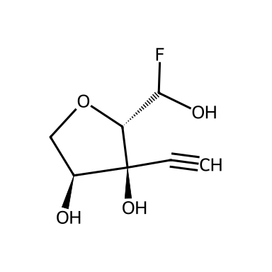 C#C[C@@]1(O)[C@@H](C(O)F)OC[C@@H]1O